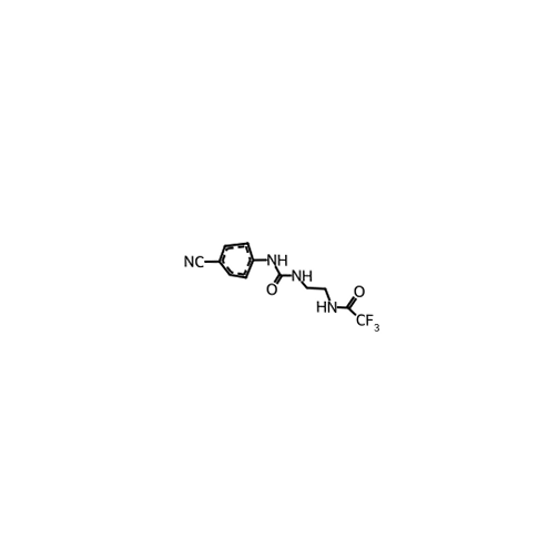 N#Cc1ccc(NC(=O)NCCNC(=O)C(F)(F)F)cc1